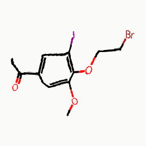 COc1cc(C(C)=O)cc(I)c1OCCBr